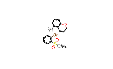 COS(=O)(=O)c1ccccc1Br.[2H]c1cccc2c1C=CCO2